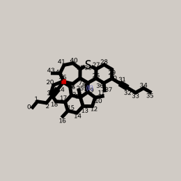 CCCC#CC1CC2/C(=C3/C(C)CC4CC(C)C5CCCCCC5C34C)C3C(CCC(C#CCCC)C3C)SC2CCC1C